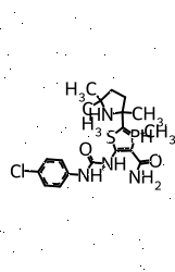 C[PH]1=C(C2(C)CCC(C)(C)N2)SC(NC(=O)Nc2ccc(Cl)cc2)=C1C(N)=O